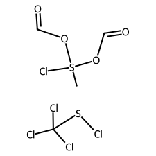 CS(Cl)(OC=O)OC=O.ClSC(Cl)(Cl)Cl